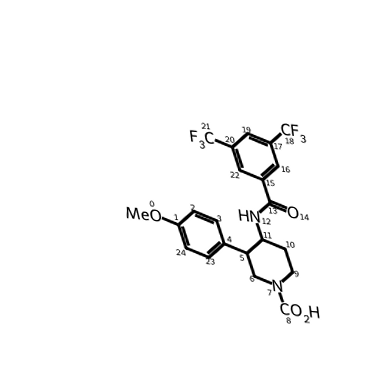 COc1ccc(C2CN(C(=O)O)CCC2NC(=O)c2cc(C(F)(F)F)cc(C(F)(F)F)c2)cc1